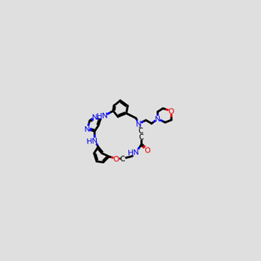 O=C1CCN(CCN2CCOCC2)Cc2cccc(c2)Nc2cc(ncn2)Nc2cccc(c2)OCCN1